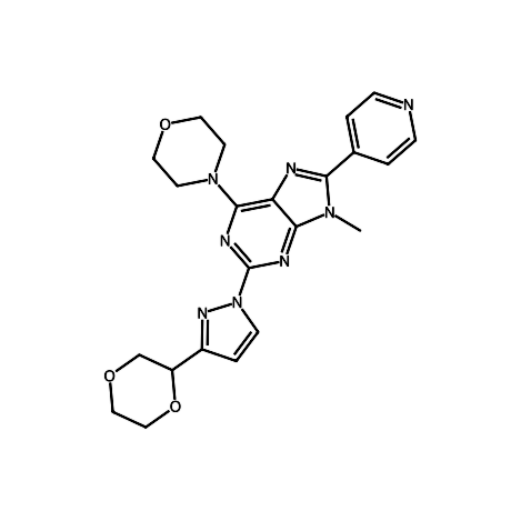 Cn1c(-c2ccncc2)nc2c(N3CCOCC3)nc(-n3ccc(C4COCCO4)n3)nc21